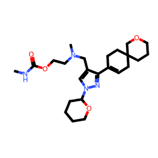 CNC(=O)OCCN(C)Cc1cn(C2CCCCO2)nc1C1=CCC2(CCCOC2)CC1